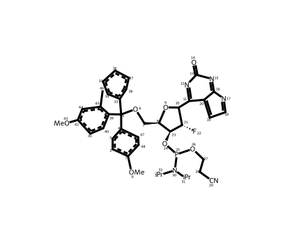 COc1ccc(C(OC[C@H]2OC(C3=NC(=O)N=C4N=CC=C43)[C@H](F)[C@H]2OP(OCCC#N)N(C(C)C)C(C)C)(c2ccccc2)c2ccc(OC)cc2C)cc1